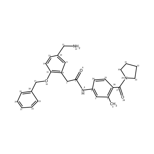 Cc1cc(NC(=O)Cc2cc(CN)ccc2OCc2ccccc2)ccc1C(=O)N1CCCC1